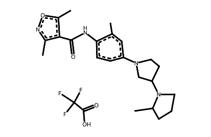 Cc1cc(N2CCC(N3CCCC3C)C2)ccc1NC(=O)c1c(C)noc1C.O=C(O)C(F)(F)F